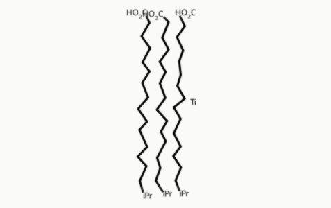 CC(C)CCCCCCCCCCCCCCC(=O)O.CC(C)CCCCCCCCCCCCCCC(=O)O.CC(C)CCCCCCCCCCCCCCC(=O)O.[Ti]